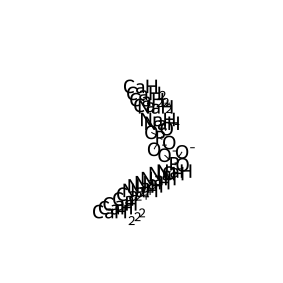 O=P([O-])([O-])[O-].O=P([O-])([O-])[O-].[Ca+2].[Ca+2].[Ca+2].[CaH2].[CaH2].[CaH2].[CaH2].[CaH2].[CaH2].[NaH].[NaH].[NaH].[NaH].[NaH].[NaH].[NaH].[NaH].[NaH]